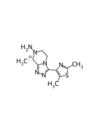 Cc1nc(-c2nnc3n2CCN(N)[C@H]3C)c(C)s1